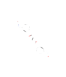 O=C=NC1C=CC(OC(=O)C=CC(=O)OC2C=CC(N=C=O)CCC2)CCC1